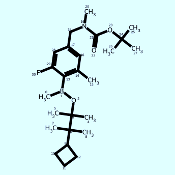 CB(OC(C)(C)C(C)(C)C1CCC1)c1c(C)cc(CN(C)C(=O)OC(C)(C)C)cc1F